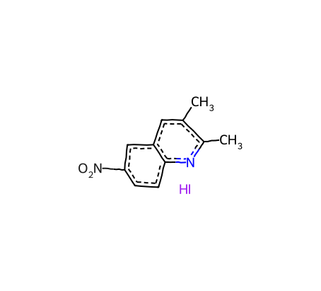 Cc1cc2cc([N+](=O)[O-])ccc2nc1C.I